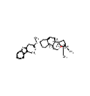 Cc1c(CC(=O)N(C)[C@H]2CC[C@@]3(C)C(=CC[C@@H]4C3CC[C@]35CN(C)[C@@H](C)[C@H]3CC[C@@H]45)C2)sc2ccccc12